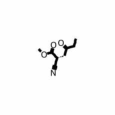 CCC(=O)C[C@H](C#N)C(=O)OC